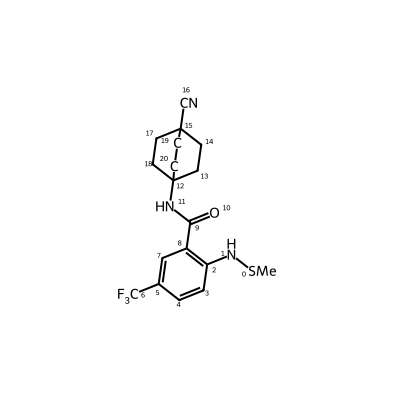 CSNc1ccc(C(F)(F)F)cc1C(=O)NC12CCC(C#N)(CC1)CC2